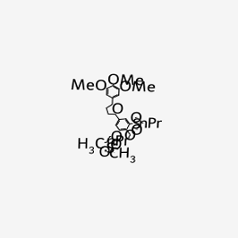 CCCOc1c(OCC(C)S(C)(=O)=O)cc(C2CCC(c3cc(OC)c(OC)c(OC)c3)O2)cc1S(=O)(=O)CCC